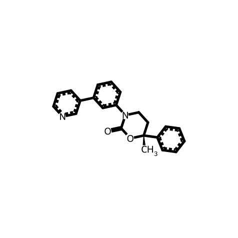 C[C@]1(c2ccccc2)CCN(c2cccc(-c3cccnc3)c2)C(=O)O1